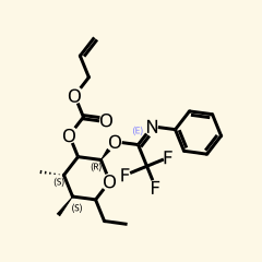 C=CCOC(=O)OC1[C@@H](O/C(=N/c2ccccc2)C(F)(F)F)OC(CC)[C@@H](C)[C@@H]1C